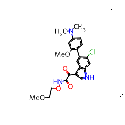 COCCONC(=O)C(=O)c1c[nH]c2cc(Cl)c(-c3ccc(N(C)C)cc3OC)cc12